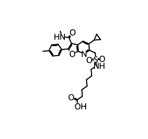 CNC(=O)c1c(-c2ccc(C)cc2)oc2nc(CS(=O)(=O)NCCCCCCC(=O)O)c(C3CC3)cc12